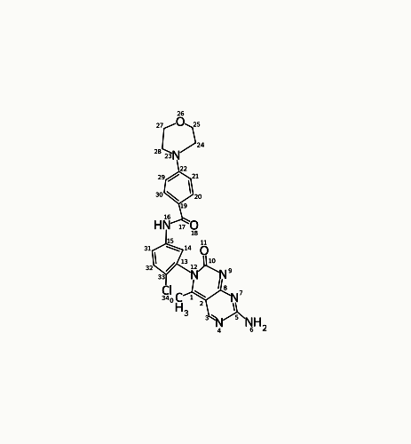 Cc1c2cnc(N)nc2nc(=O)n1-c1cc(NC(=O)c2ccc(N3CCOCC3)cc2)ccc1Cl